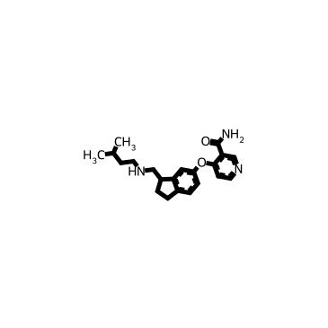 CC(C)CCNCC1CCc2ccc(Oc3ccncc3C(N)=O)cc21